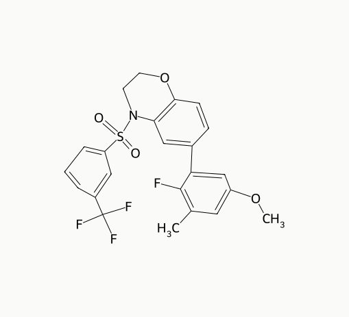 COc1cc(C)c(F)c(-c2ccc3c(c2)N(S(=O)(=O)c2cccc(C(F)(F)F)c2)CCO3)c1